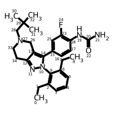 CCc1cccc(CC)c1-n1nc2c(c1-c1ccc(NC(N)=O)c(F)c1)CN(CC(C)(C)C)CC2